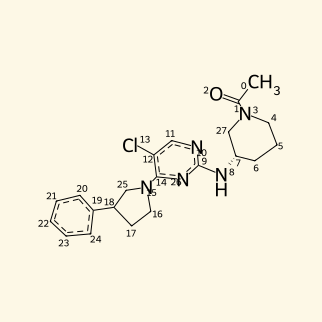 CC(=O)N1CCC[C@H](Nc2ncc(Cl)c(N3CCC(c4ccccc4)C3)n2)C1